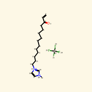 C=CC(=O)CCCCCCCCCCC[n+]1ccn(C)c1.F[B-](F)(F)F